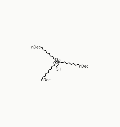 CCCCCCCCCCCCCCCCCCO[Si](CCS)(OCCCCCCCCCCCCCCCCCC)OCCCCCCCCCCCCCCCCCC